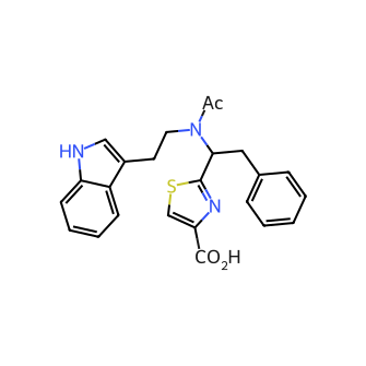 CC(=O)N(CCc1c[nH]c2ccccc12)C(Cc1ccccc1)c1nc(C(=O)O)cs1